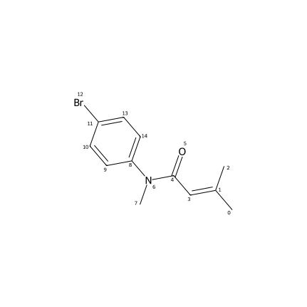 CC(C)=CC(=O)N(C)c1ccc(Br)cc1